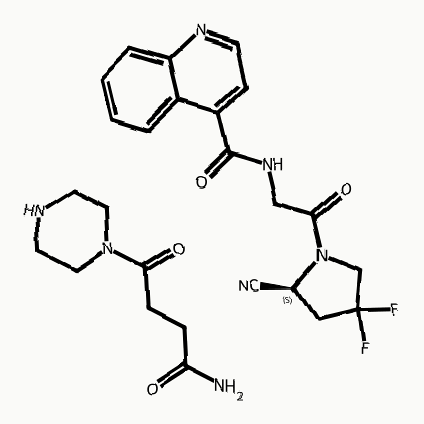 N#C[C@@H]1CC(F)(F)CN1C(=O)CNC(=O)c1ccnc2ccccc12.NC(=O)CCC(=O)N1CCNCC1